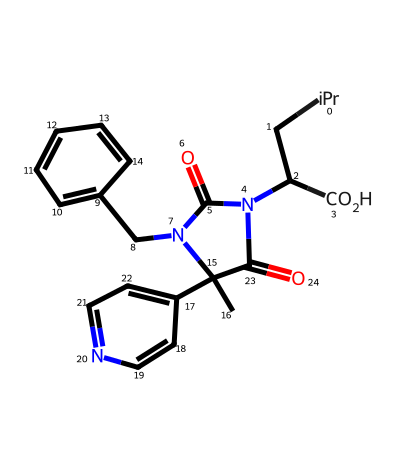 CC(C)CC(C(=O)O)N1C(=O)N(Cc2ccccc2)C(C)(c2ccncc2)C1=O